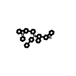 c1ccc(-c2ccc(N(c3cccc(-c4ccc5c6ccccc6n(-c6ccccc6)c5c4)c3)c3ccc(-c4ccc5sc6ccccc6c5c4)c4ccccc34)cc2)cc1